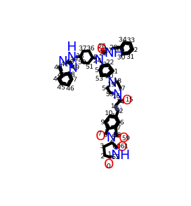 O=C1CCC(N2C(=O)c3ccc(/C=C/C(=O)N4CCN(c5ccc(N(C(=O)NCc6ccccc6)C6CCC(Nc7ncc8ccccc8n7)CC6)cc5)CC4)cc3C2=O)C(=O)N1